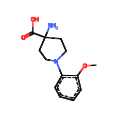 COc1ccccc1N1CCC(N)(C(=O)O)CC1